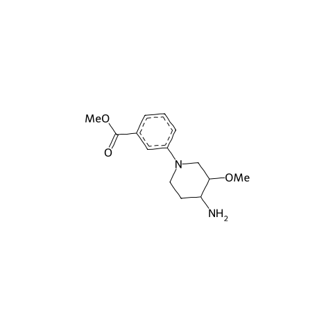 COC(=O)c1cccc(N2CCC(N)C(OC)C2)c1